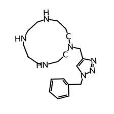 c1ccc(Cn2cc(CN3CCCNCCNCCCNCC3)nn2)cc1